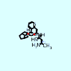 C/C(N)=C/C(=N)Nc1cc2ncccc2c(N2CC3CCC(C2)C3NCCC#N)n1